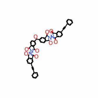 O=C(c1ccc2c(c1)C(=O)N(N1C(=O)c3ccc(C#Cc4ccccc4)cc3C1=O)C2=O)c1ccc2c(c1)C(=O)N(N1C(=O)c3ccc(C#Cc4ccccc4)cc3C1=O)C2=O